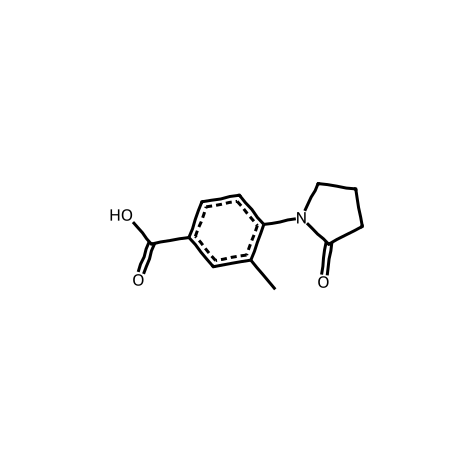 Cc1cc(C(=O)O)ccc1N1CCCC1=O